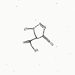 O=C(S)C1C(=O)N=NN1Cl